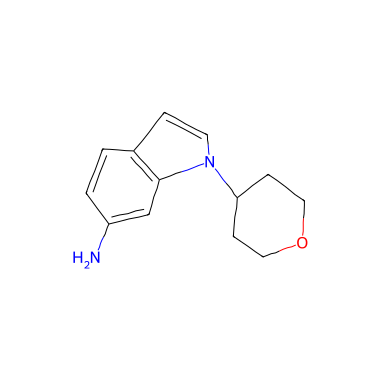 Nc1ccc2ccn(C3CCOCC3)c2c1